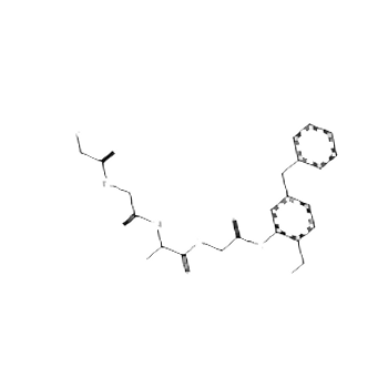 CC(NC(=O)CNC(=O)CBr)C(=O)NCC(=O)Nc1cc(Cc2ccccc2)ccc1CO